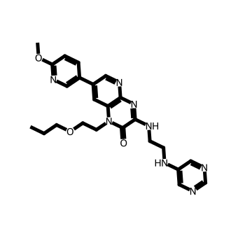 CCCOCCn1c(=O)c(NCCNc2cncnc2)nc2ncc(-c3ccc(OC)nc3)cc21